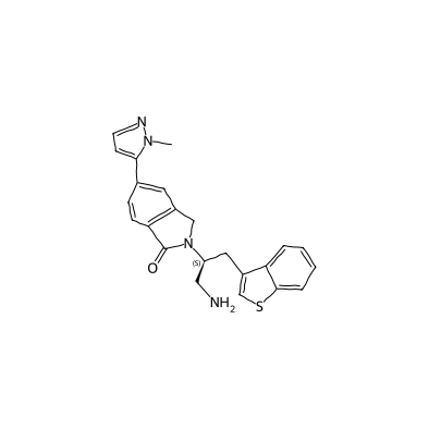 Cn1nccc1-c1ccc2c(c1)CN([C@H](CN)Cc1csc3ccccc13)C2=O